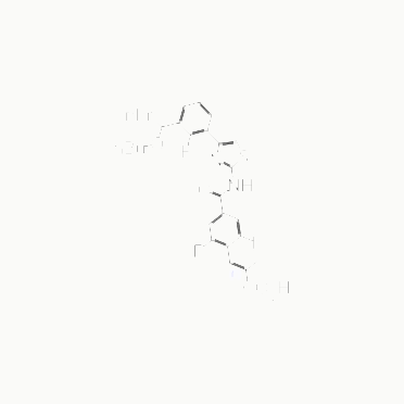 CCCCOC(CCC)c1cccc(-c2csc(NC(=O)c3cc(F)c(/C=C(\C)C(=O)O)c(F)c3)n2)c1F